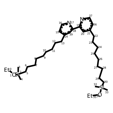 CCO[Si](C)(C)CCCCCCCCCc1ccnc(-c2cc(CCCCCCCCC[Si](C)(C)OCC)ccn2)c1